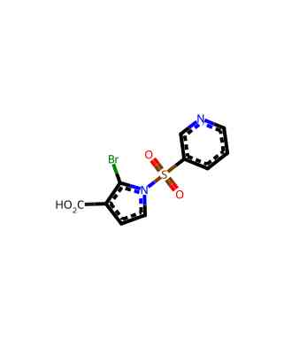 O=C(O)c1ccn(S(=O)(=O)c2cccnc2)c1Br